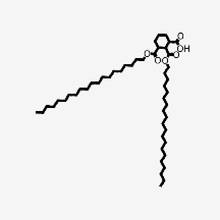 CCCCCCCCCCCCCCCCCCCCOC(=O)C1CCCC(C(=O)O)C1C(=O)OCCCCCCCCCCCCCCCCCCCC